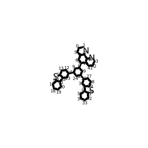 c1cnc2c(c1)cc(-c1cc(-c3ccc4sc5ccccc5c4c3)cc(-c3ccc4sc5ccccc5c4c3)c1)c1cccnc12